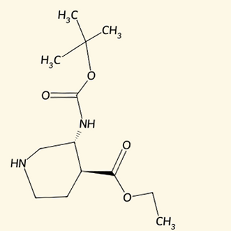 CCOC(=O)[C@H]1CCNC[C@@H]1NC(=O)OC(C)(C)C